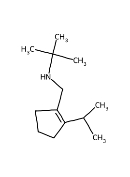 CC(C)C1=C(CNC(C)(C)C)CCC1